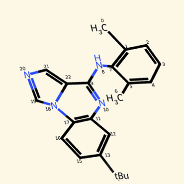 Cc1cccc(C)c1Nc1nc2cc(C(C)(C)C)ccc2n2cncc12